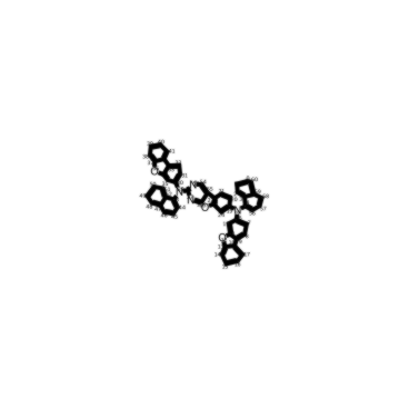 c1ccc2c(N(c3ccc4c(c3)oc3ccccc34)c3ccc4c(c3)oc3nc(N(c5ccc6c(c5)oc5ccccc56)c5cccc6ccccc56)ncc34)cccc2c1